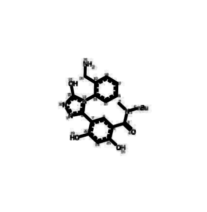 CCCCN(C)C(=O)c1cc(-c2nnc(O)n2-c2ccccc2CN)c(O)cc1O